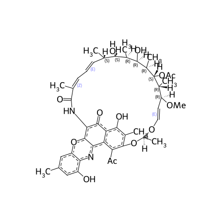 CO[C@H]1/C=C/O[C@@H](C)Oc2c(C)c(O)c3c(=O)c(c4oc5cc(C)cc(O)c5nc-4c3c2C(C)=O)NC(=O)/C(C)=C\C=C\[C@H](C)[C@H](O)[C@@H](C)[C@@H](O)[C@@H](C)[C@H](OC(C)=O)[C@@H]1C